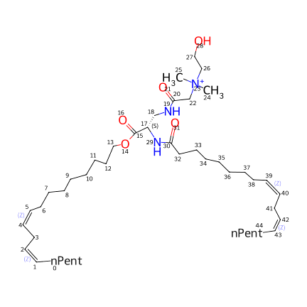 CCCCC/C=C\C/C=C\CCCCCCCCOC(=O)[C@H](CNC(=O)C[N+](C)(C)CCO)NC(=O)CCCCCCC/C=C\C/C=C\CCCCC